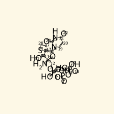 N[C@]1(COP(=O)(O)OP(=O)(O)OP(=O)(O)O)O[C@@H](n2ccc(=O)[nH]c2=O)[C@@]2(CCS2)[C@@H]1O